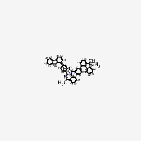 C=C(/N=C(\N=C(/C)c1cccc(-c2cccc3c2-c2ccccc2C3(C)C)c1)c1ccc(-c2cccc3c2oc2ccccc23)cc1)c1ccccc1